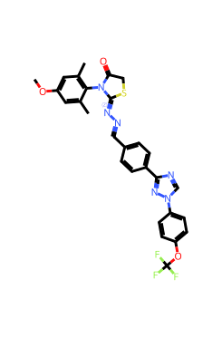 COc1cc(C)c(N2C(=O)CS/C2=N\N=Cc2ccc(-c3ncn(-c4ccc(OC(F)(F)F)cc4)n3)cc2)c(C)c1